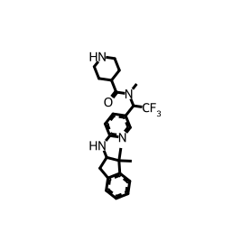 CN(C(=O)C1CCNCC1)C(c1ccc(NC2Cc3ccccc3C2(C)C)nc1)C(F)(F)F